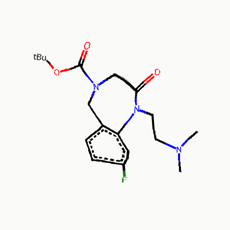 CN(C)CCN1C(=O)CN(C(=O)OC(C)(C)C)Cc2ccc(F)cc21